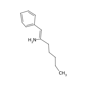 CCCCCC(N)=Cc1ccccc1